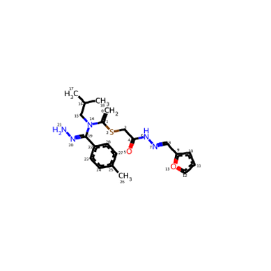 C=C(SCC(=O)N/N=C/c1ccco1)N(CC(C)C)/C(=N\N)c1ccc(C)cc1